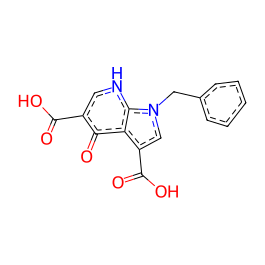 O=C(O)c1c[nH]c2c(c(C(=O)O)cn2Cc2ccccc2)c1=O